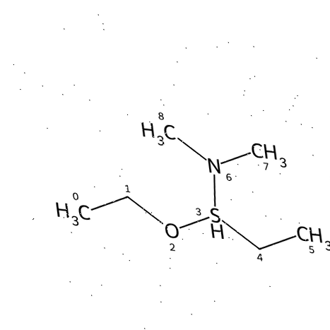 CCO[SH](CC)N(C)C